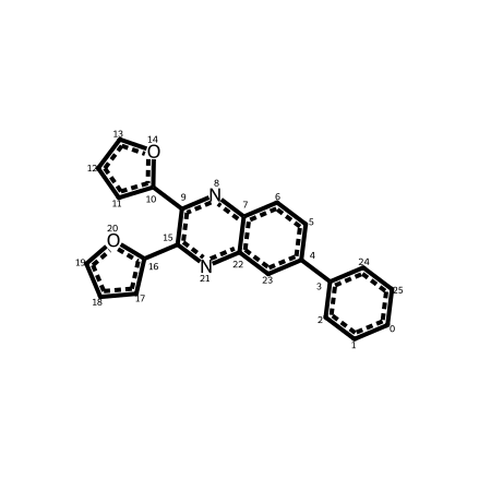 c1ccc(-c2ccc3nc(-c4ccco4)c(-c4ccco4)nc3c2)cc1